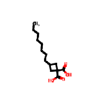 CCCCCCCCC1CC(C(=O)O)(C(=O)O)C1